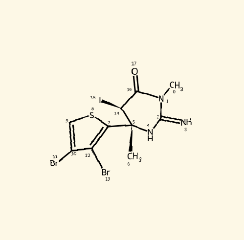 CN1C(=N)N[C@](C)(c2scc(Br)c2Br)[C@@H](I)C1=O